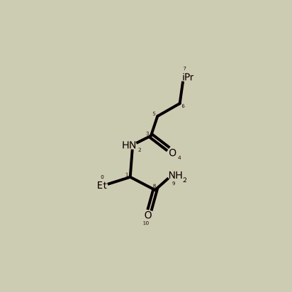 CCC(NC(=O)CCC(C)C)C(N)=O